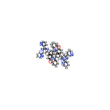 c1ccc(-c2cc(-c3ccc(-c4ccc(-c5cc(-c6cccnc6)nc(-c6ccccn6)n5)cc4N4c5ccccc5Oc5ccccc54)c(N4c5ccccc5Oc5ccccc54)c3)nc(-c3cccnc3)n2)nc1